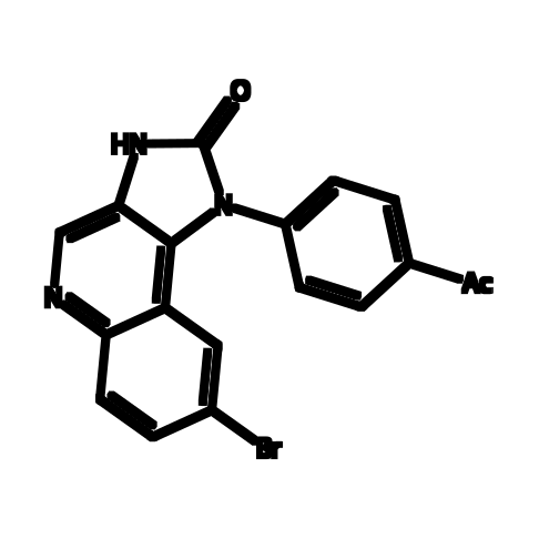 CC(=O)c1ccc(-n2c(=O)[nH]c3cnc4ccc(Br)cc4c32)cc1